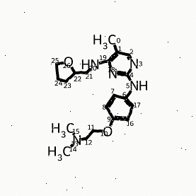 Cc1cnc(Nc2ccc(OCCN(C)C)cc2)nc1NCC1CCCO1